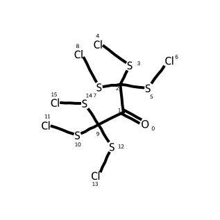 O=C(C(SCl)(SCl)SCl)C(SCl)(SCl)SCl